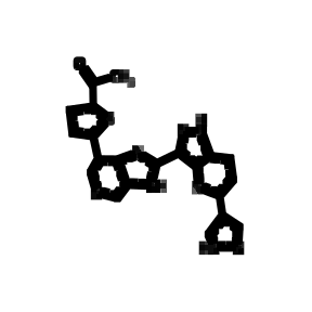 CC(=O)c1ccc(-c2cncc3[nH]c(-c4n[nH]c5ccc(-c6cn[nH]c6)nc45)nc23)s1